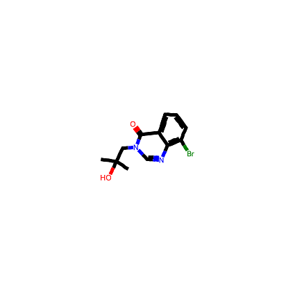 CC(C)(O)Cn1cnc2c(Br)cccc2c1=O